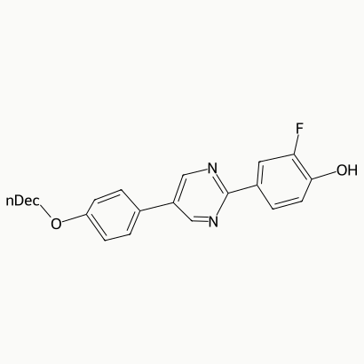 CCCCCCCCCCOc1ccc(-c2cnc(-c3ccc(O)c(F)c3)nc2)cc1